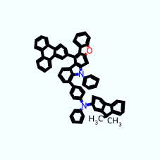 CC1(C)c2ccccc2-c2ccc(N(c3ccccc3)c3ccc(-c4cccc5c6c(-c7ccc8c9ccccc9c9ccccc9c8c7)c7c(cc6n(-c6ccccc6)c45)oc4ccccc47)cc3)cc21